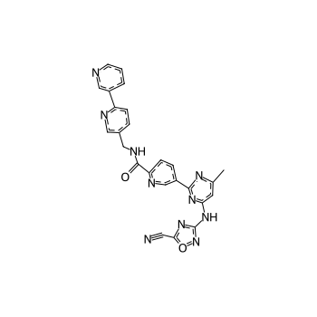 Cc1cc(Nc2noc(C#N)n2)nc(-c2ccc(C(=O)NCc3ccc(-c4cccnc4)nc3)nc2)n1